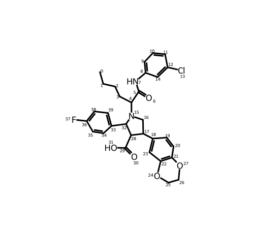 CCCCC(C(=O)Nc1cccc(Cl)c1)N1CC(c2ccc3c(c2)OCCO3)C(C(=O)O)C1c1ccc(F)cc1